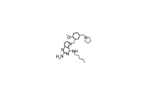 CCCCCNc1nc(N)nc2ccn(Cc3cc(CN4CCCC4)ccc3OC)c12